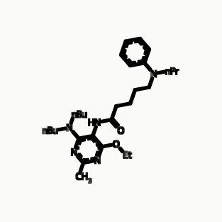 CCCCN(CCCC)c1nc(C)nc(OCC)c1NC(=O)CCCCN(CCC)c1ccccc1